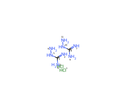 Cl.Cl.N=C(N)NN.N=C(N)NN